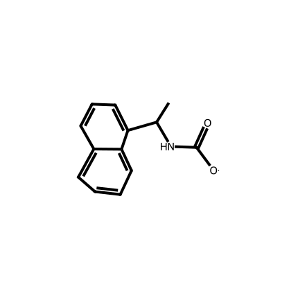 CC(NC([O])=O)c1cccc2ccccc12